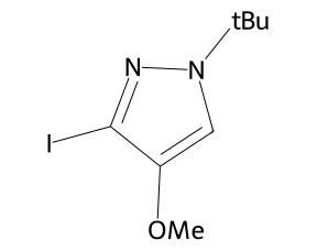 COc1cn(C(C)(C)C)nc1I